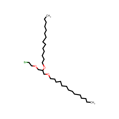 CCCCCCCCCCCCCCOCC(COCCBr)OCCCCCCCCCCCCCC